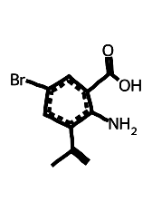 C=C(C)c1cc(Br)cc(C(=O)O)c1N